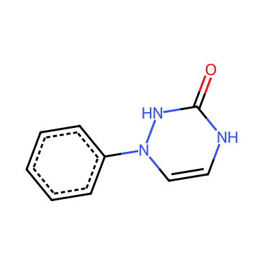 O=C1NC=CN(c2ccccc2)N1